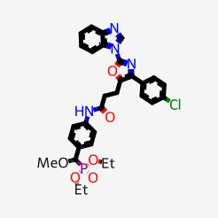 CCOP(=O)(OCC)C(OC)c1ccc(NC(=O)CCc2oc(-n3cnc4ccccc43)nc2-c2ccc(Cl)cc2)cc1